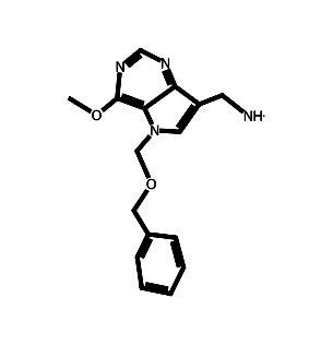 COc1ncnc2c(C[NH])cn(COCc3ccccc3)c12